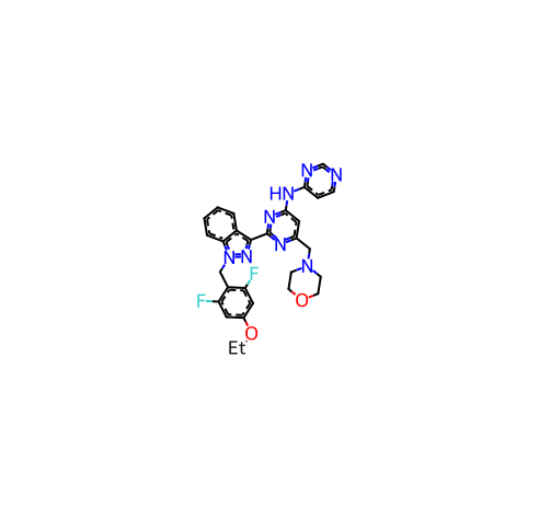 CCOc1cc(F)c(Cn2nc(-c3nc(CN4CCOCC4)cc(Nc4ccncn4)n3)c3ccccc32)c(F)c1